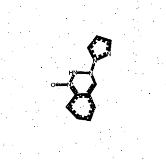 [O-][N+]1=c2ccccc2=CN(n2cccn2)N1